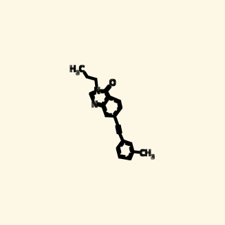 CCCn1cnc2cc(C#Cc3cccc(C)c3)ccc2c1=O